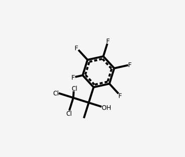 CC(O)(c1c(F)c(F)c(F)c(F)c1F)C(Cl)(Cl)Cl